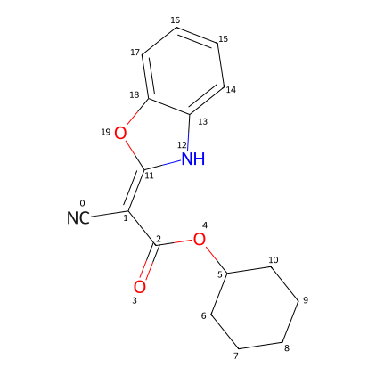 N#CC(C(=O)OC1CCCCC1)=C1Nc2ccccc2O1